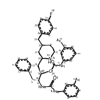 CC(=O)c1cccc(NC(=O)N[C@H](Cc2ccccc2)[C@@H](CC2CC(Cc3ccc(F)cc3)CCN2)OC(=O)Nc2cccc(C(C)=O)c2)c1